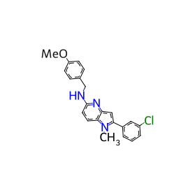 COc1ccc(CNc2ccc3c(cc(-c4cccc(Cl)c4)n3C)n2)cc1